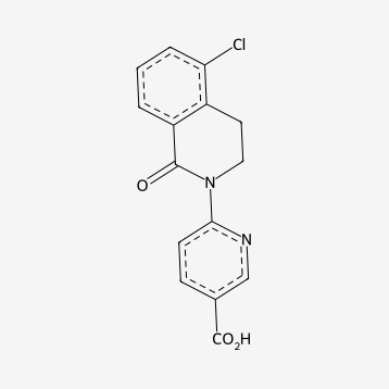 O=C(O)c1ccc(N2CCc3c(Cl)cccc3C2=O)nc1